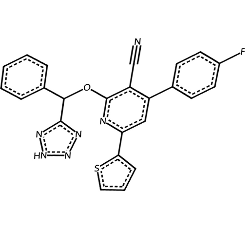 N#Cc1c(-c2ccc(F)cc2)cc(-c2cccs2)nc1OC(c1ccccc1)c1nn[nH]n1